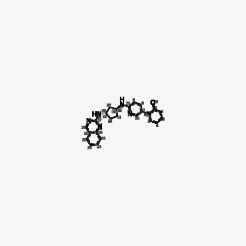 O=c1ccccn1-c1ccc(N[C@H]2CC[C@H](Nc3ncc4ccccc4n3)C2)nc1